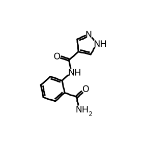 NC(=O)c1ccccc1NC(=O)c1cn[nH]c1